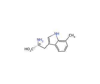 Cc1cccc2c(C[C@@H](N)C(=O)O)c[nH]c12